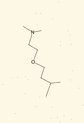 CC(C)CCOCCN(C)C